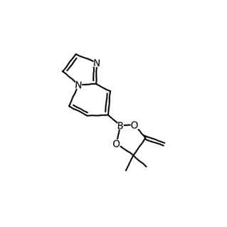 C=C1OB(c2ccn3ccnc3c2)OC1(C)C